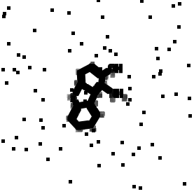 Nc1c(O)ccc2sc3ccccc3c12